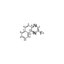 Fc1cnc2ccc3ccccc3c2n1